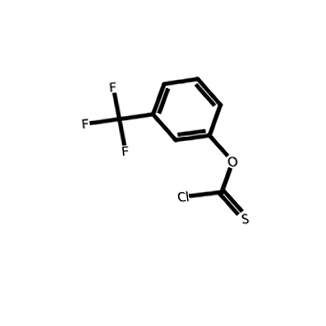 FC(F)(F)c1cccc(OC(=S)Cl)c1